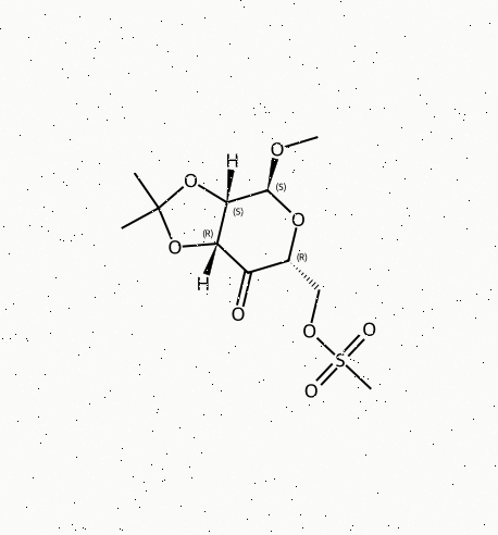 CO[C@H]1O[C@H](COS(C)(=O)=O)C(=O)[C@@H]2OC(C)(C)O[C@H]12